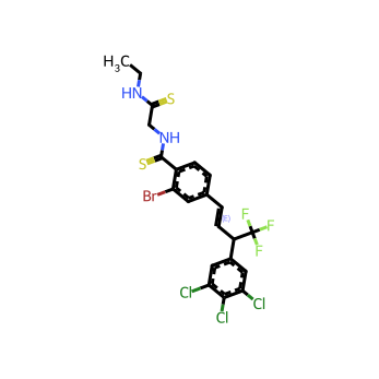 CCNC(=S)CNC(=S)c1ccc(/C=C/C(c2cc(Cl)c(Cl)c(Cl)c2)C(F)(F)F)cc1Br